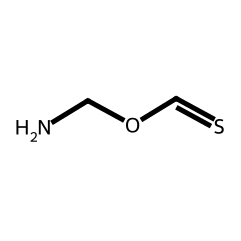 NCOC=S